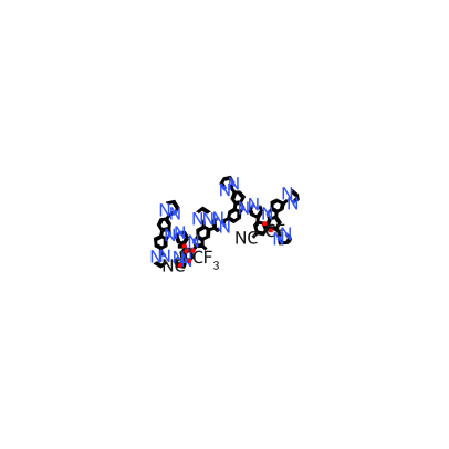 C=C/C(=C\c1c(C)c2cc(-c3cnc(-c4ccc5c(c4)c4cc(-c6ncccn6)ccc4n5-c4cc(-c5cc(C#N)cc(C(F)(F)F)c5)c(-n5c6ccc(-c7ncccn7)cc6c6cc(-c7ncccn7)ccc65)cn4)nc3)c(-c3ncccn3)cc2n1-c1cnc(-n2c3cc(-c4ncccn4)ccc3c3ccc(-c4ncccn4)cc32)cc1-c1cc(C#N)cc(C(F)(F)F)c1)c1ncccn1